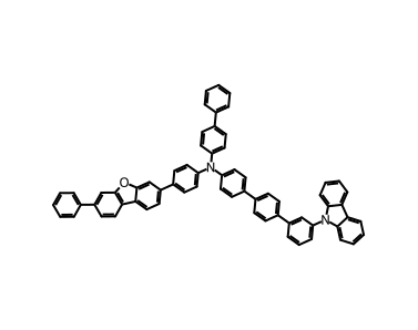 c1ccc(-c2ccc(N(c3ccc(-c4ccc(-c5cccc(-n6c7ccccc7c7ccccc76)c5)cc4)cc3)c3ccc(-c4ccc5c(c4)oc4cc(-c6ccccc6)ccc45)cc3)cc2)cc1